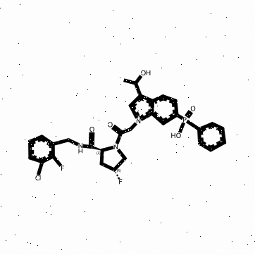 CC(O)c1cn(CC(=O)N2C[C@H](F)C[C@H]2C(=O)NCc2cccc(Cl)c2F)c2cc(P(=O)(O)c3ccccc3)ccc12